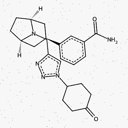 NC(=O)c1cccc([C@H]2C[C@H]3CC[C@@H](C2)N3Cc2cn(C3CCC(=O)CC3)nn2)c1